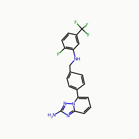 Nc1nc2cccc(-c3ccc(CNc4cc(C(F)(F)F)ccc4F)cc3)n2n1